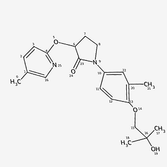 Cc1ccc(OC2CCN(c3ccc(OCC(C)(C)O)c(C)c3)C2=O)nc1